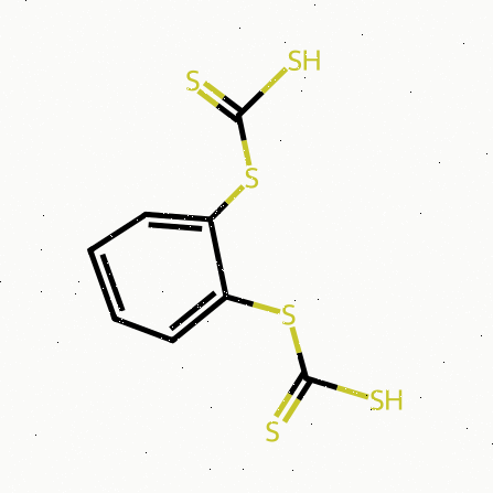 S=C(S)Sc1ccccc1SC(=S)S